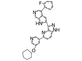 Fc1ccccc1-c1cncc2[nH]c(-c3n[nH]c4ccc(-c5cncc(OC6CCCCC6)c5)nc34)cc12